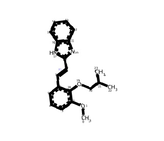 COc1cccc(/C=C/c2nc3ccccc3[nH]2)c1OCC(C)C